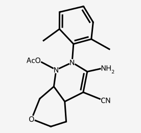 CC(=O)ON1C2COCCC2C(C#N)=C(N)N1c1c(C)cccc1C